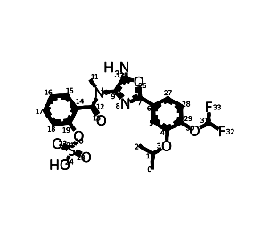 CC(C)Oc1cc(-c2nc(N(C)C(=O)c3ccccc3OS(=O)(=O)O)co2)ccc1OC(F)F.N